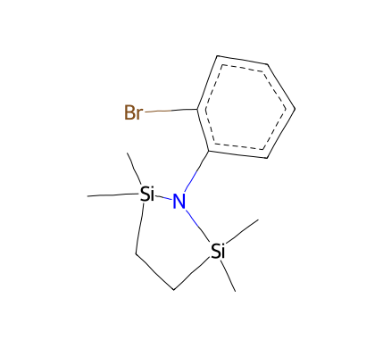 C[Si]1(C)CC[Si](C)(C)N1c1ccccc1Br